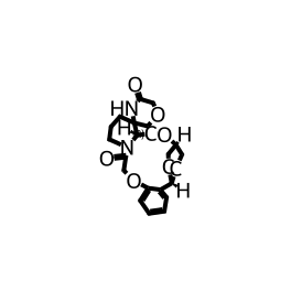 O=C1COCC2(CCCN3C(=O)COc4ccccc4[C@H]4CC[C@H](CC4)OC[C@H]32)N1